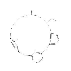 CCN1CCC(=O)NCCCOc2ccc(cc2C)Nc2nccc(n2)Nc2cccc(c2)C1